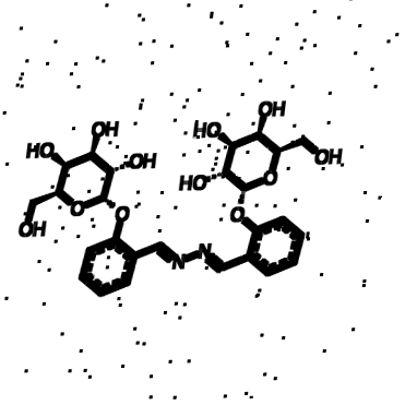 OC[C@@H]1O[C@@H](Oc2ccccc2/C=N/N=C/c2ccccc2O[C@H]2O[C@H](CO)[C@H](O)[C@H](O)[C@H]2O)[C@@H](O)[C@H](O)[C@@H]1O